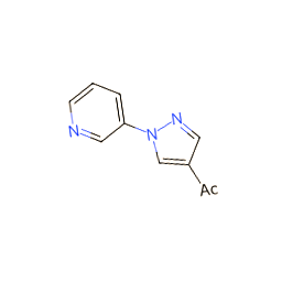 CC(=O)c1cnn(-c2cccnc2)c1